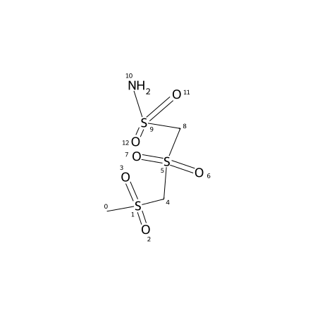 CS(=O)(=O)CS(=O)(=O)CS(N)(=O)=O